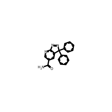 NC(=O)c1cnc2c(c1)C(c1ccccc1)(c1ccccc1)N=N2